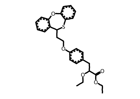 CCOC(=O)C(Cc1ccc(OCCC2Sc3ccccc3Oc3ccccc32)cc1)OCC